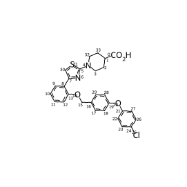 O=C(O)C1CCN(c2nc(-c3ccccc3OCc3ccc(Oc4ccc(Cl)cc4)cc3)cs2)CC1